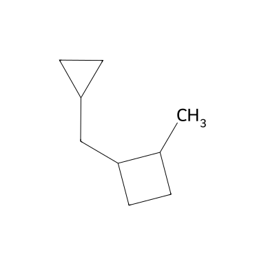 CC1CCC1CC1CC1